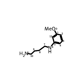 COc1cccc(NCCCCN)c1